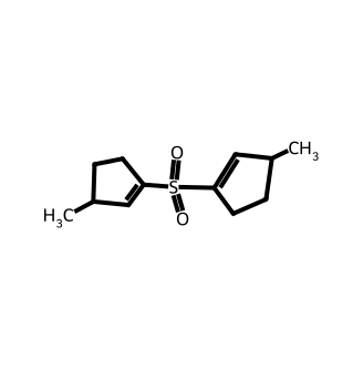 CC1C=C(S(=O)(=O)C2=CC(C)CC2)CC1